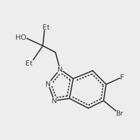 CCC(O)(CC)Cn1nnc2cc(Br)c(F)cc21